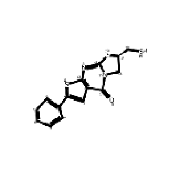 O=c1c2cc(-c3ccccc3)sc2nc2n1C[C@H](CS)S2